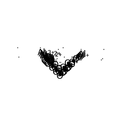 O=[Si]([O-])[O-].O=[Si]([O-])[O-].O=[Si]([O-])[O-].O=[Si]([O-])[O-].O=[Si]([O-])[O-].[Al+3].[Al+3].[Al].[Al].[Al].[Al].[Al].[Mg+2].[Mg+2].[O]=[Ti]=[O].[O]=[Ti]=[O].[O]=[Ti]=[O].[O]=[Ti]=[O].[O]=[Ti]=[O]